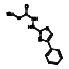 CC(C)(C)OC(=O)NNc1nc(-c2ccccc2)cs1